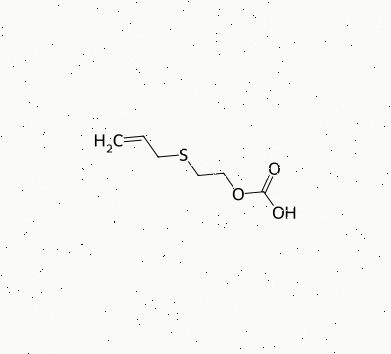 C=CCSCCOC(=O)O